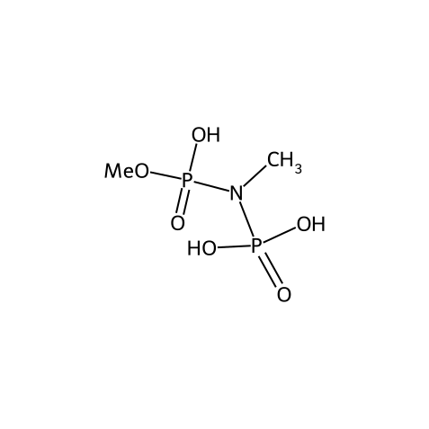 COP(=O)(O)N(C)P(=O)(O)O